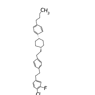 CCCCc1ccc([C@H]2CC[C@H](CCc3ccc(CCc4ccc(Cl)c(F)c4)cc3)CC2)cc1